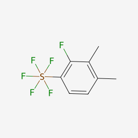 Cc1ccc(S(F)(F)(F)(F)F)c(F)c1C